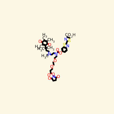 CC1=C(C)C(=O)C(C(C)(C)CCN(C)CCN(CCOCCOCCC(=O)ON2C(=O)CCC2=O)C(=O)Oc2ccc3nc(C4=N[C@@H](C(=O)O)CS4)sc3c2)=C(C)C1=O